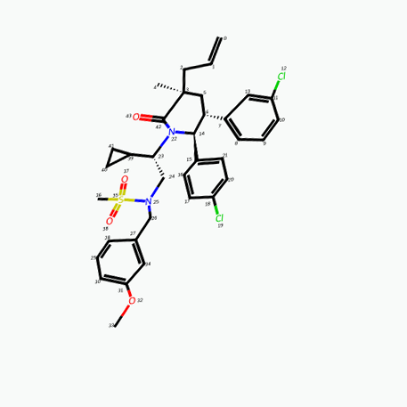 C=CC[C@@]1(C)C[C@H](c2cccc(Cl)c2)[C@@H](c2ccc(Cl)cc2)N([C@H](CN(Cc2cccc(OC)c2)S(C)(=O)=O)C2CC2)C1=O